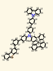 c1ccc(C2(c3ccc(N(c4ccc(-c5ccc(-n6c7ccccc7c7ccccc76)cc5)cc4)c4ccc(-c5cccc(-c6ccc7sc8ccccc8c7c6)c5)cc4)cc3)c3ccccc3-c3ccccc32)cc1